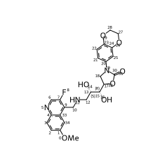 COc1ccc2ncc(F)c(CNC[C@H](O)[C@@H](O)C3CN(c4ccc5c(c4)OCCO5)C(=O)O3)c2c1